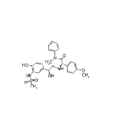 COc1ccc([C@@H](NC[C@@H](O)c2ccc(O)c(NS(C)(=O)=O)c2)C(=O)N(C)c2ccccc2)cc1